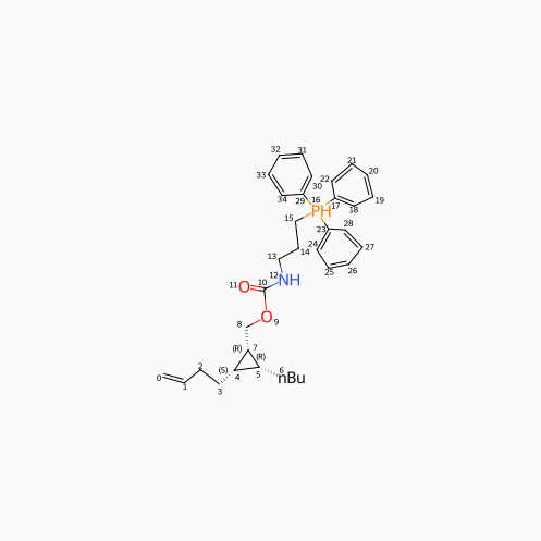 C=CCC[C@H]1[C@@H](CCCC)[C@H]1COC(=O)NCCC[PH](c1ccccc1)(c1ccccc1)c1ccccc1